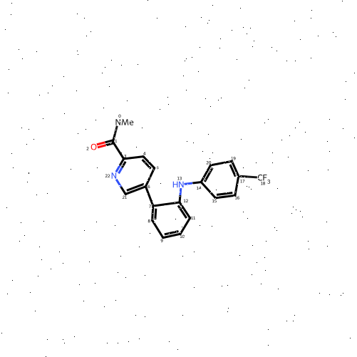 CNC(=O)c1ccc(-c2ccccc2Nc2ccc(C(F)(F)F)cc2)cn1